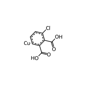 O=C(O)c1cccc(Cl)c1C(=O)O.[Cu]